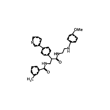 COc1ccc(NCCNC(=O)C(CNC(=O)c2cccc(C)c2)c2ccc(-c3cccnc3)cc2)cc1